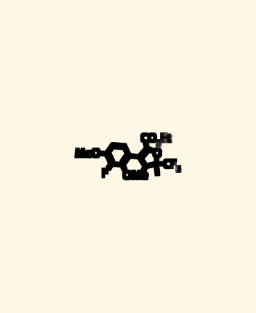 CCOC(=O)C1=C(c2ccc(OC)c(F)c2OC)C(C)C(C)(C(F)(F)F)O1